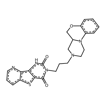 O=c1[nH]c2c(sc3cccnc32)c(=O)n1CCCN1CCN2c3ccccc3OCC2C1